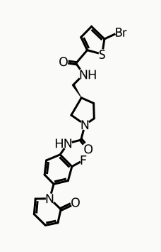 O=C(NC[C@H]1CCN(C(=O)Nc2ccc(-n3ccccc3=O)cc2F)C1)c1ccc(Br)s1